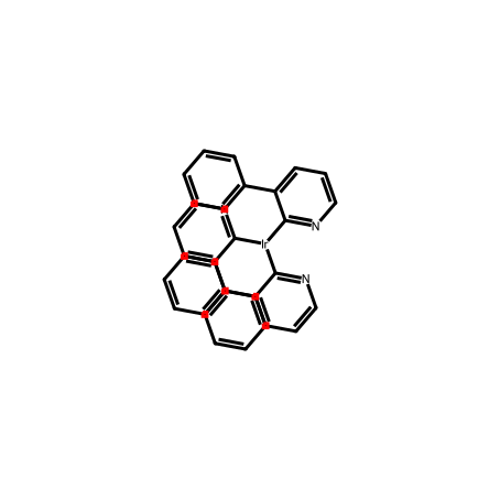 c1ccc(-c2cccn[c]2[Ir]([c]2ncccc2-c2ccccc2)[c]2ncccc2-c2ccccc2)cc1